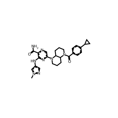 Cn1cc(Nc2nc(N3CCCC4C3CCCN4C(=O)c3ccc(C4CC4)cc3)cnc2C(N)=O)cn1